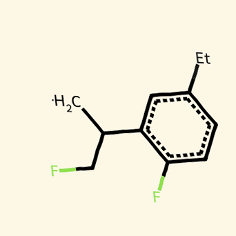 [CH2]C(CF)c1cc(CC)ccc1F